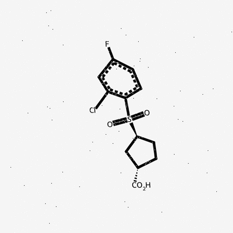 O=C(O)[C@H]1CC[C@H](S(=O)(=O)c2ccc(F)cc2Cl)C1